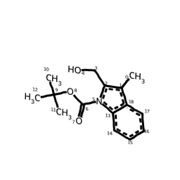 Cc1c(CO)n(C(=O)OC(C)(C)C)c2ccccc12